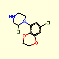 Clc1cc2c(c(N3CCNCC3Cl)c1)OCCO2